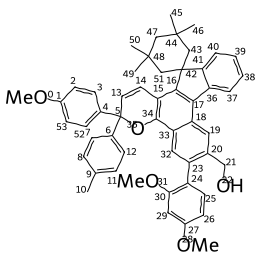 COc1ccc(C2(c3ccc(C)cc3)C=Cc3c4c(c5cc(CO)c(-c6ccc(OC)cc6OC)cc5c3O2)-c2ccccc2C42CC(C)(C)CC(C)(C)C2)cc1